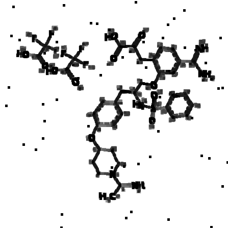 CC(=N)N1CCC(Oc2ccc(C[C@@H](COc3cc(C(=N)N)ccc3CC(=O)C(=O)O)NS(=O)(=O)c3ccccc3)cc2)CC1.O=C(O)C(F)(F)F.O=C(O)C(F)(F)F